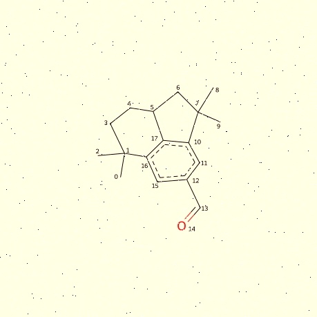 CC1(C)CCC2CC(C)(C)c3cc(C=O)cc1c32